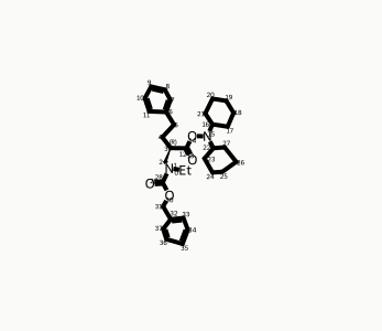 CCN(C[C@@H](CCc1ccccc1)C(=O)ON(C1CCCCC1)C1CCCCC1)C(=O)OCc1ccccc1